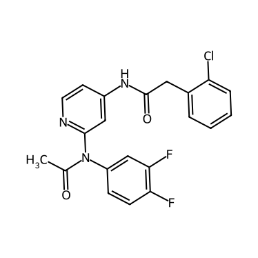 CC(=O)N(c1ccc(F)c(F)c1)c1cc(NC(=O)Cc2ccccc2Cl)ccn1